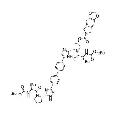 CC(C)(C)OC(=O)N[C@H](C(=O)N1CCC[C@H]1c1nc(-c2ccc(-c3ccc(-c4cnc([C@@H]5C[C@@H](OC(=O)N6Cc7cc8c(cc7C6)OCO8)CN5C(=O)[C@@H](NC(=O)OC(C)(C)C)C(C)(C)C)[nH]4)cc3)cc2)c[nH]1)C(C)(C)C